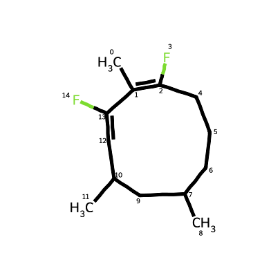 CC1=C(\F)CCCC(C)CC(C)/C=C\1F